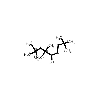 CC(CCC(C)(C)C)C(C)(C)CC(C)(C)C